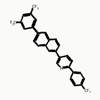 FC(F)(F)c1ccc(-c2ccc(-c3ccc4cc(-c5cc(C(F)(F)F)cc(C(F)(F)F)c5)ccc4c3)cn2)cc1